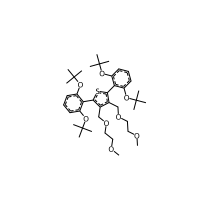 COCCOCc1c(-c2c(OC(C)(C)C)cccc2OC(C)(C)C)sc(-c2c(OC(C)(C)C)cccc2OC(C)(C)C)c1COCCOC